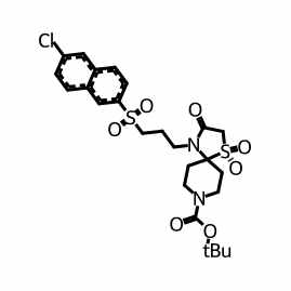 CC(C)(C)OC(=O)N1CCC2(CC1)N(CCCS(=O)(=O)c1ccc3cc(Cl)ccc3c1)C(=O)CS2(=O)=O